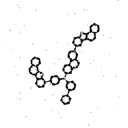 c1ccc(-c2cccc(N(c3ccc(-c4cccc5c4sc4c6ccccc6ccc54)cc3)c3ccc4c(ccc5cc(-c6ccc7oc8c9ccccc9ccc8c7c6)ccc54)c3)c2)cc1